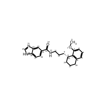 COc1cccc2c1[C@@H](CCCNC(=O)c1ccc3[nH]cnc3c1)CCC2